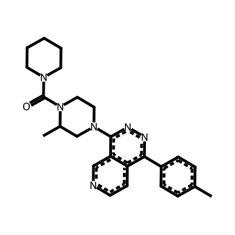 Cc1ccc(-c2nnc(N3CCN(C(=O)N4CCCCC4)C(C)C3)c3cnccc23)cc1